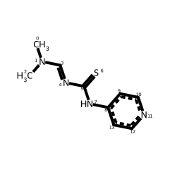 CN(C)/C=N/C(=S)Nc1ccncc1